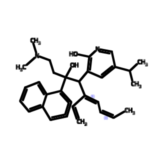 C=C/C(=C\C=C/C)C(c1cc(C(C)C)cnc1O)C(O)(CCN(C)C)C1=C=C=Cc2ccccc21